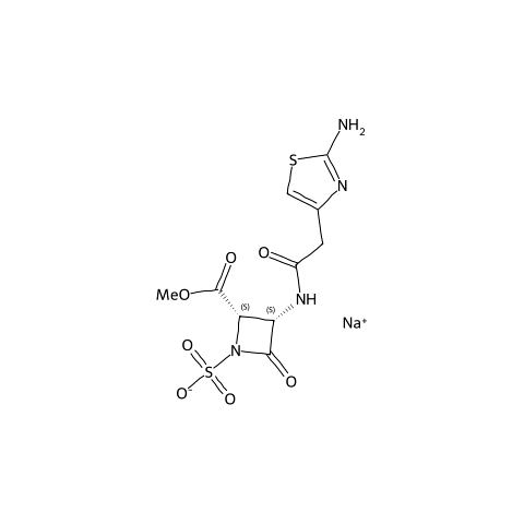 COC(=O)[C@@H]1[C@H](NC(=O)Cc2csc(N)n2)C(=O)N1S(=O)(=O)[O-].[Na+]